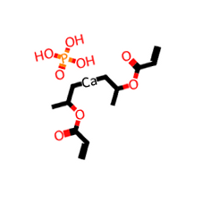 C=CC(=O)OC(C)[CH2][Ca][CH2]C(C)OC(=O)C=C.O=P(O)(O)O